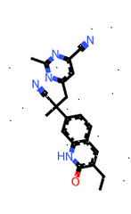 CCc1cc2ccc(C(C)(C#N)Cc3cc(C#N)nc(C)n3)cc2[nH]c1=O